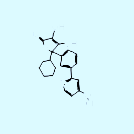 COc1ccnc(-c2cccc(C3(C4CCCCC4)OC(=O)C(O)=C3O)c2)c1